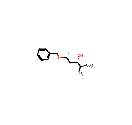 C[C@H](C(=O)O)[C@@H](O)C[C@@H](Cl)OCc1ccccc1